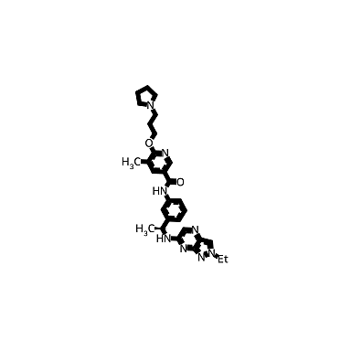 CCn1cc2ncc(N[C@@H](C)c3cccc(NC(=O)c4cnc(OCCCN5CCCC5)c(C)c4)c3)nc2n1